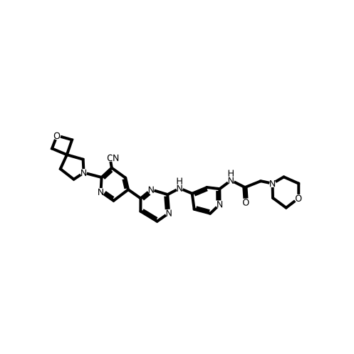 N#Cc1cc(-c2ccnc(Nc3ccnc(NC(=O)CN4CCOCC4)c3)n2)cnc1N1CCC2(COC2)C1